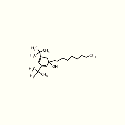 CCCCCCCCCC1(O)C=C(C(C)(C)C)C=C(C(C)(C)C)C1